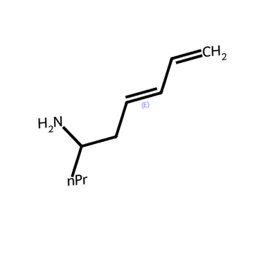 C=C/C=C/CC(N)CCC